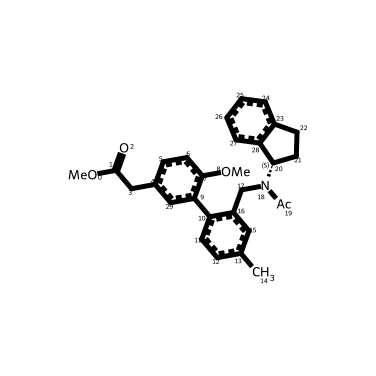 COC(=O)Cc1ccc(OC)c(-c2ccc(C)cc2CN(C(C)=O)[C@H]2CCc3ccccc32)c1